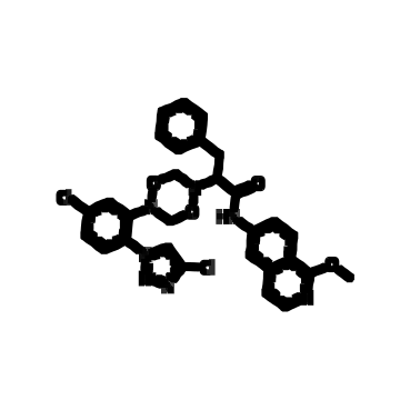 COc1nccc2cc(NC(=O)C(Cc3ccccc3)N3CON(c4cc(Cl)ccc4-n4cc(Cl)nn4)CO3)ccc12